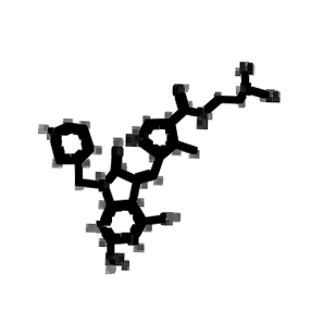 CCN(CC)CCNC(=O)c1c[nH]c(/C=C2\C(=O)N(Cc3cccnc3)c3nc(N)nc(Cl)c32)c1C